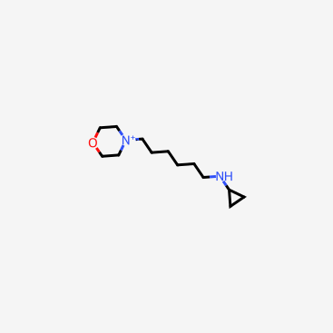 C(CCC[N+]1CCOCC1)CCNC1CC1